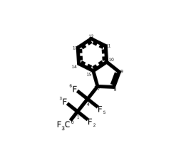 FC(F)(F)C(F)(F)C(F)(F)[C]1C=Cc2ccccc21